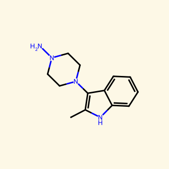 Cc1[nH]c2ccccc2c1N1CCN(N)CC1